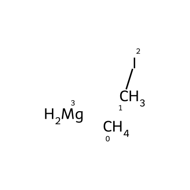 C.CI.[MgH2]